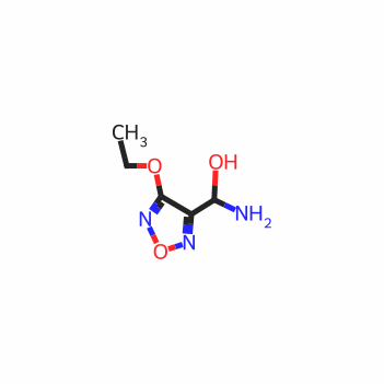 CCOc1nonc1C(N)O